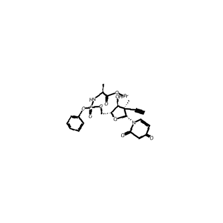 C#C[C@]1(C)[C@H](O)[C@@H](COP(=O)(N[C@@H](C)C(=O)OC(C)C)Oc2ccccc2)O[C@H]1N1C=CC(=O)CC1=O